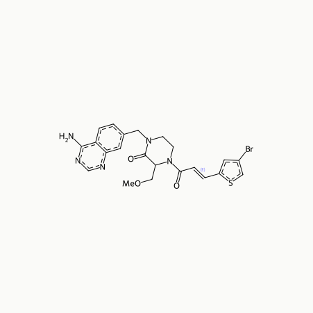 COCC1C(=O)N(Cc2ccc3c(N)ncnc3c2)CCN1C(=O)/C=C/c1cc(Br)cs1